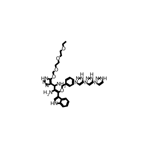 CCOCCOCCOCOc1[nH]nnc1C(N)C(N)=C(OCc1ccccc1)c1c[nH]c2ccccc12.c1c[nH]nn1.c1c[nH]nn1.c1c[nH]nn1